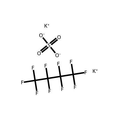 FC(F)(F)C(F)(F)C(F)(F)C(F)(F)F.O=S(=O)([O-])[O-].[K+].[K+]